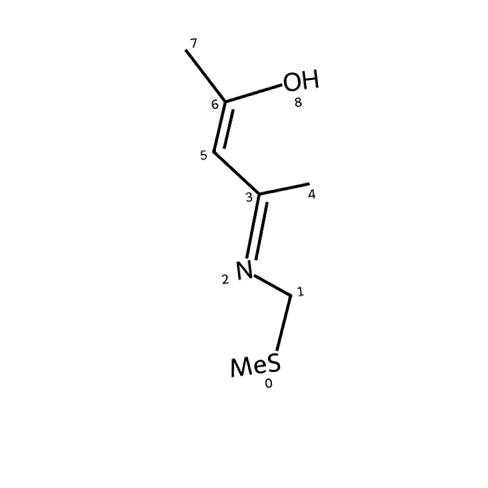 CSC/N=C(C)/C=C(/C)O